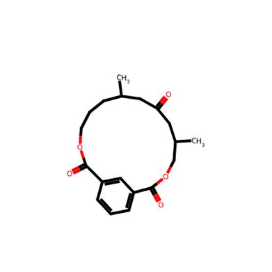 CC1CCCOC(=O)c2cccc(c2)C(=O)OCC(C)CC(=O)C1